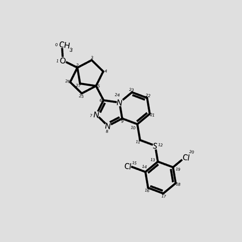 COC12CCC(c3nnc4c(CSc5c(Cl)cccc5Cl)cccn34)(CC1)C2